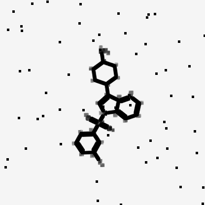 NC1CCC(c2cn(S(=O)(=O)c3cccc(F)c3)c3cccnc23)CC1